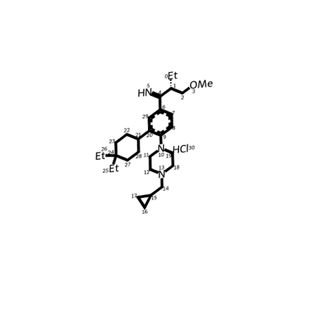 CC[C@H](COC)C(=N)c1ccc(N2CCN(CC3CC3)CC2)c(C2CCC(CC)(CC)CC2)c1.Cl